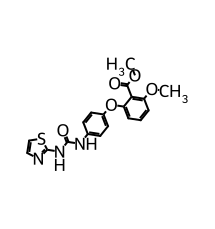 COC(=O)c1c(OC)cccc1Oc1ccc(NC(=O)Nc2nccs2)cc1